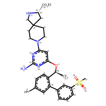 CCCc1ccc([C@@H](Oc2cc(N3CCC4(CC3)CN[C@H](C(=O)OCC)C4)nc(N)n2)C(F)(F)F)c(-c2cccc(S(C)(=O)=O)c2)c1